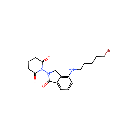 O=C1c2cccc(NCCCCCBr)c2CN1N1C(=O)CCCC1=O